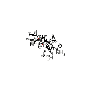 CC(C)[C@@H](C)Nc1cc(C(=O)N[C@H]2C[C@H]3CC[C@@H](C2)N3c2ccc(C(=O)C3CC3)cn2)ccc1C(N)=O